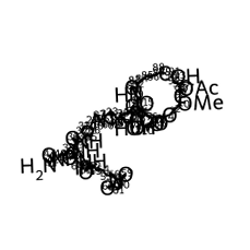 CO[C@H]1/C=C/O[C@@]2(C)Oc3c(C)c(O)c4c(=O)c(c5oc6cc(N7CCC([N+](C)(C)Cc8ccc(NC(=O)[C@H](CCCNC(N)=O)NC(=O)[C@@H](NC(=O)CCCCCN9C(=O)C=CC9=O)C(C)C)cc8)CC7)cc(O)c6nc-5c4c3C2=O)NC(=O)/C(C)=C\C=C\[C@H](C)C[C@@H](C)[C@@H](O)[C@@H](C)[C@H](OC(C)=O)C1